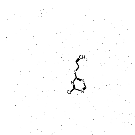 C=CCSc1ncnc(Cl)n1